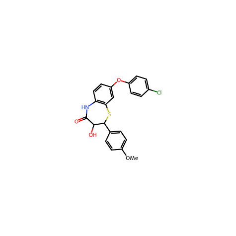 COc1ccc(C2Sc3cc(Oc4ccc(Cl)cc4)ccc3NC(=O)C2O)cc1